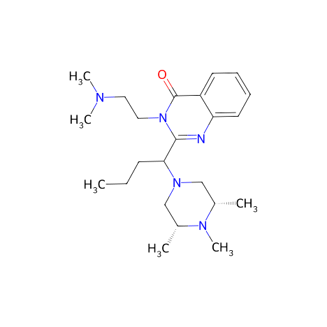 CCCC(c1nc2ccccc2c(=O)n1CCN(C)C)N1C[C@@H](C)N(C)[C@@H](C)C1